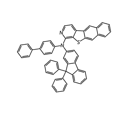 c1ccc(-c2ccc(N(c3ccc4c(c3)C(c3ccccc3)(c3ccccc3)c3ccccc3-4)c3nccc4c3sc3cc5ccccc5cc34)cc2)cc1